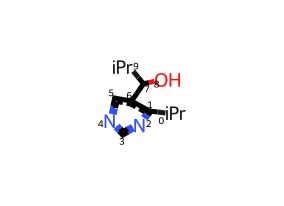 CC(C)c1ncncc1C(O)C(C)C